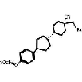 CCCCCCCCOc1ccc(C2CCC([C@H]3CC[C@](C#N)(C[C@H](C)CC)CC3)CC2)cc1